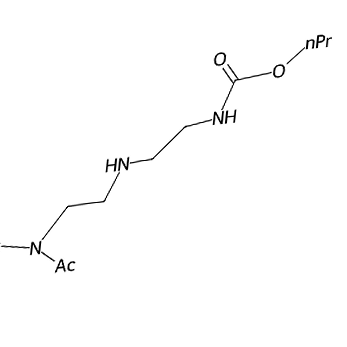 CCCOC(=O)NCCNCCN(CC)C(C)=O